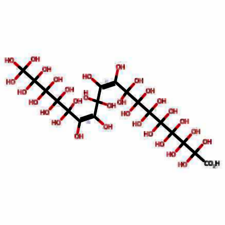 O=C(O)C(O)(O)C(O)(O)C(O)(O)C(O)(O)C(O)(O)C(O)(O)C(O)(O)/C(O)=C(/O)C(O)(O)/C(O)=C(/O)C(O)(O)C(O)(O)C(O)(O)C(O)(O)C(O)(O)O